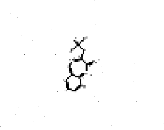 FC(F)(F)Cc1ncc2ccccc2nc1=S